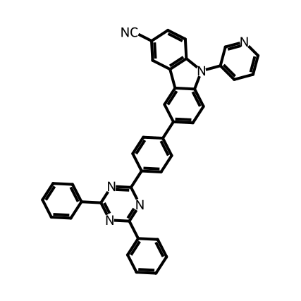 N#Cc1ccc2c(c1)c1cc(-c3ccc(-c4nc(-c5ccccc5)nc(-c5ccccc5)n4)cc3)ccc1n2-c1cccnc1